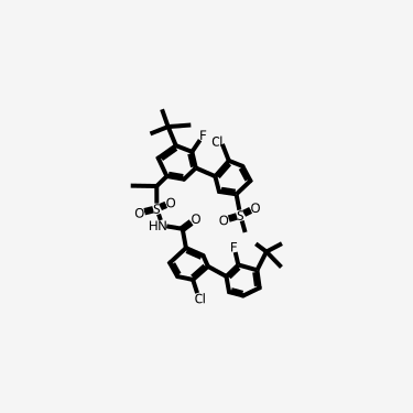 CC(c1cc(-c2cc(S(C)(=O)=O)ccc2Cl)c(F)c(C(C)(C)C)c1)S(=O)(=O)NC(=O)c1ccc(Cl)c(-c2cccc(C(C)(C)C)c2F)c1